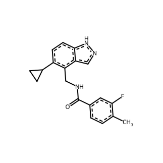 Cc1ccc(C(=O)NCc2c(C3CC3)ccc3[nH]ncc23)cc1F